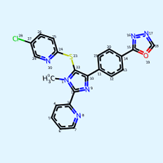 Cn1c(-c2ccccn2)nc(-c2ccc(-c3nnco3)cc2)c1Sc1ccc(Cl)cn1